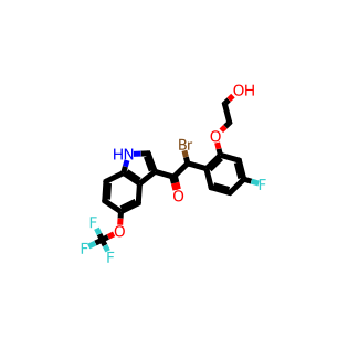 O=C(c1c[nH]c2ccc(OC(F)(F)F)cc12)C(Br)c1ccc(F)cc1OCCO